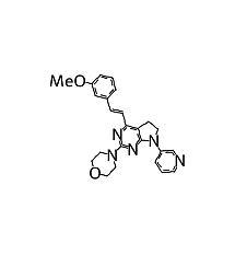 COc1cccc(C=Cc2nc(N3CCOCC3)nc3c2CCN3c2cccnc2)c1